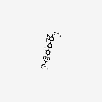 C/C=C/C1COC(c2ccc(-c3ccc(-c4ccc(CC)c(F)c4F)cc3)c(F)c2)OC1